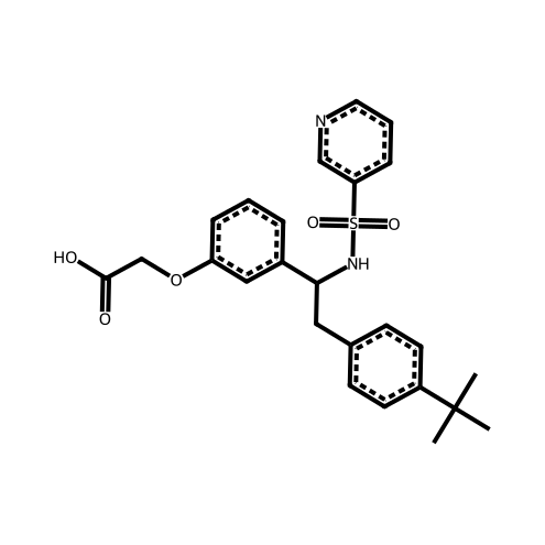 CC(C)(C)c1ccc(CC(NS(=O)(=O)c2cccnc2)c2cccc(OCC(=O)O)c2)cc1